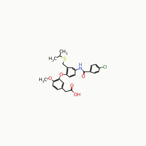 COc1ccc(CC(=O)O)cc1Oc1ccc(NC(=O)c2ccc(Cl)cc2)cc1CSC(C)C